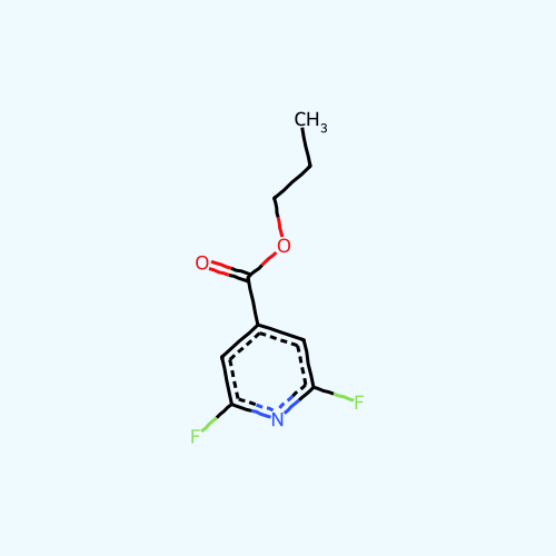 CCCOC(=O)c1cc(F)nc(F)c1